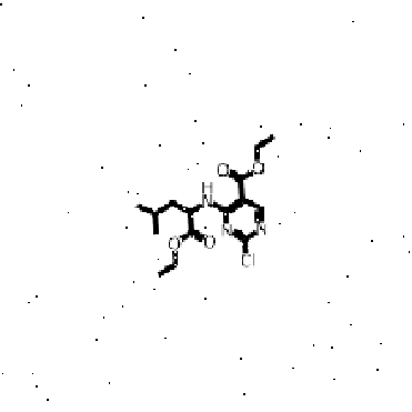 CCOC(=O)c1cnc(Cl)nc1NC(CC(C)C)C(=O)OCC